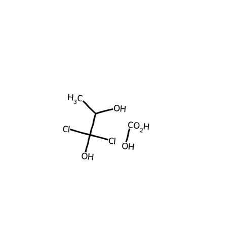 CC(O)C(O)(Cl)Cl.O=C(O)O